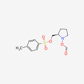 Cc1ccc(S(=O)(=O)OC[C@H]2CCCN2OC=O)cc1